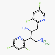 Cl.Cl.NCC(c1ncc(F)cc1F)C(N)Cc1ncc(F)cc1F